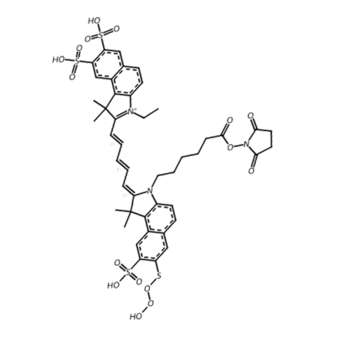 CC[N+]1=C(/C=C/C=C/C=C2\N(CCCCCC(=O)ON3C(=O)CCC3=O)c3ccc4cc(SOOO)c(S(=O)(=O)O)cc4c3C2(C)C)C(C)(C)c2c1ccc1cc(S(=O)(=O)O)c(S(=O)(=O)O)cc21